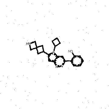 Oc1ccccc1-c1cc2c(cc(C3CC4(CNC4)C3)n2C2CCC2)nn1